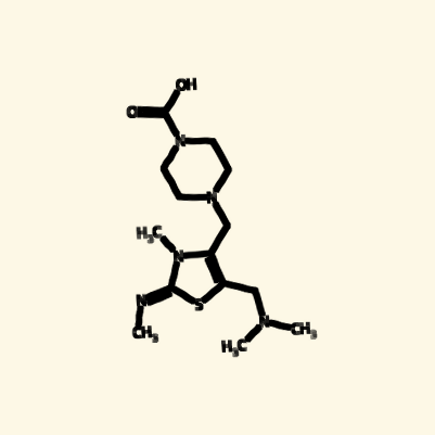 C/N=c1\sc(CN(C)C)c(CN2CCN(C(=O)O)CC2)n1C